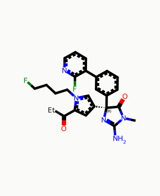 CCC(=O)c1cc([C@@]2(c3cccc(-c4cccnc4F)c3)N=C(N)N(C)C2=O)cn1CCCCF